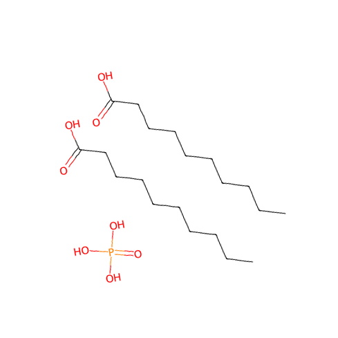 CCCCCCCCCC(=O)O.CCCCCCCCCC(=O)O.O=P(O)(O)O